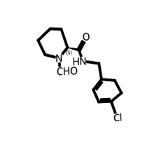 O=CN1CCCC[C@H]1C(=O)NCC1=CC=C(Cl)CC1